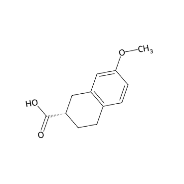 COc1ccc2c(c1)C[C@@H](C(=O)O)CC2